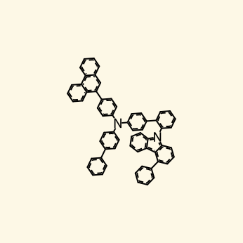 c1ccc(-c2ccc(N(c3ccc(-c4ccccc4-n4c5ccccc5c5c(-c6ccccc6)cccc54)cc3)c3ccc(-c4cc5ccccc5c5ccccc45)cc3)cc2)cc1